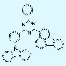 c1ccc(-c2nc(-c3cccc(-n4c5ccccc5c5ccccc54)c3)nc(-c3ccc4c5c(cccc35)-c3ccccc3-4)n2)cc1